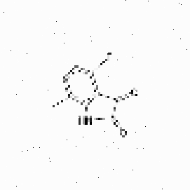 Cc1ccc(F)c2c1NC(=O)C2=O